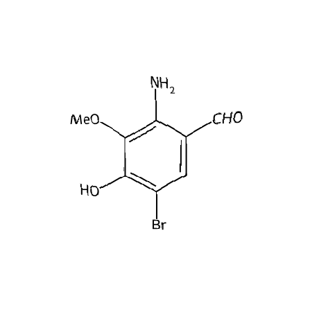 COc1c(N)c(C=O)cc(Br)c1O